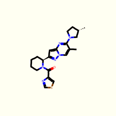 Cc1cn2nc([C@@H]3CCCCN3C(=O)c3cscn3)cc2nc1N1CC[C@H](C)C1